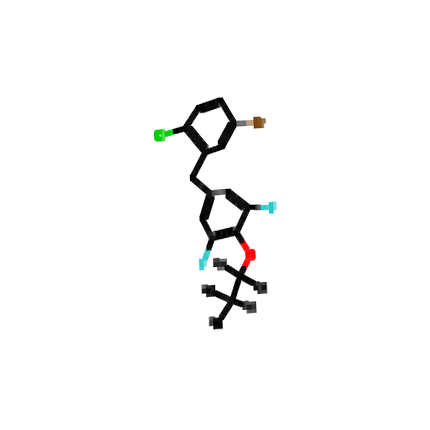 [2H]C([2H])([2H])C([2H])([2H])Oc1c(F)cc(Cc2cc(Br)ccc2Cl)cc1F